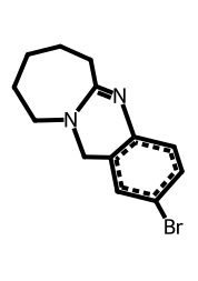 Brc1ccc2c(c1)CN1CCCCCC1=N2